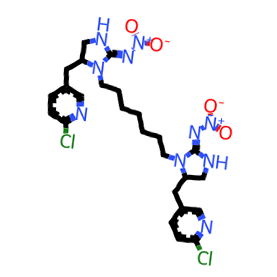 O=[N+]([O-])N=C1NCC(Cc2ccc(Cl)nc2)N1CCCCCCCN1C(=N[N+](=O)[O-])NCC1Cc1ccc(Cl)nc1